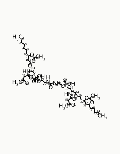 CCCCCCC[C@H](CCOC[C@H](COP(=O)(O)OCCNC(=O)NCCOP(=O)(O)CC[C@@H](COCC[C@@H](CCCCCCC)OC(C)=O)NC(=O)CC(C)=O)NC(=O)CC(C)=O)OC(C)=O